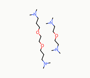 CN(C)CCCOCCOCCCN(C)C.CN(C)CCOCCN(C)C